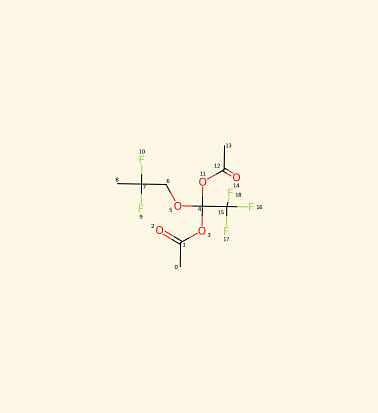 CC(=O)OC(OCC(C)(F)F)(OC(C)=O)C(F)(F)F